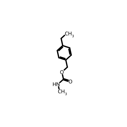 CCc1ccc(COC(=O)NC)cc1